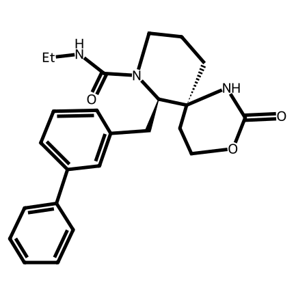 CCNC(=O)N1CCC[C@]2(CCOC(=O)N2)[C@H]1Cc1cccc(-c2ccccc2)c1